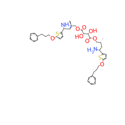 C[C@@H](COC(=O)C(O)C(O)C(=O)OC[C@H](C)CC(N)c1ccc(OCCCc2ccccc2)s1)CC(N)c1ccc(OCCCc2ccccc2)s1